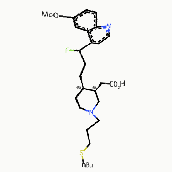 CCCCSCCCN1CC[C@@H](CCC(F)c2ccnc3ccc(OC)cc23)[C@@H](CC(=O)O)C1